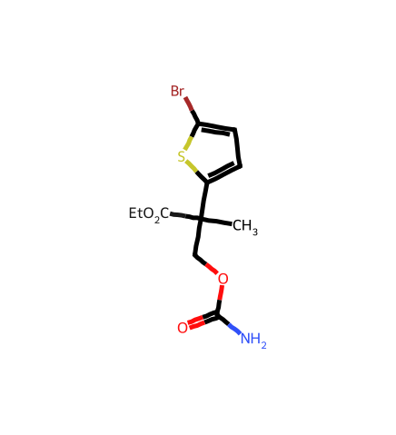 CCOC(=O)C(C)(COC(N)=O)c1ccc(Br)s1